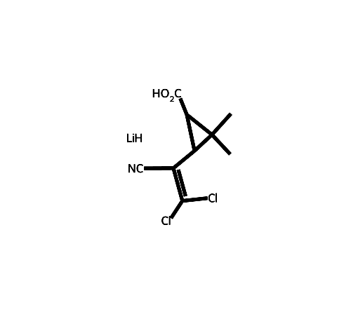 CC1(C)C(C(=O)O)C1C(C#N)=C(Cl)Cl.[LiH]